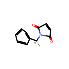 C[C@H](c1ccccc1)N1C(=O)C=CC1=O